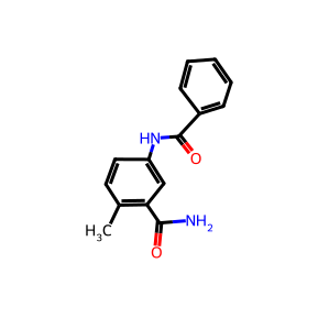 Cc1ccc(NC(=O)c2ccccc2)cc1C(N)=O